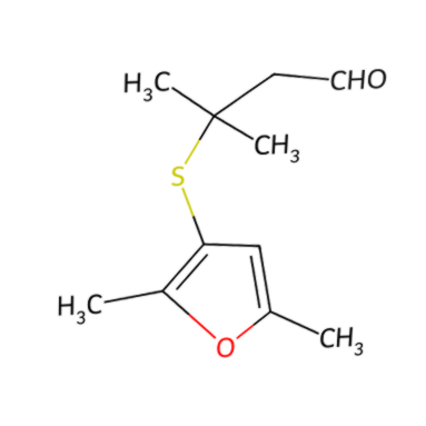 Cc1cc(SC(C)(C)CC=O)c(C)o1